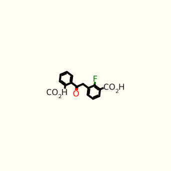 O=C(O)c1ccccc1C(=O)Cc1cccc(C(=O)O)c1F